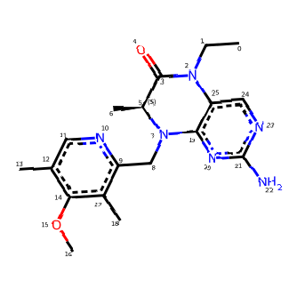 CCN1C(=O)[C@H](C)N(Cc2ncc(C)c(OC)c2C)c2nc(N)ncc21